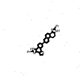 CC(C)c1nc2c([nH]1)CCc1c-2ccc2cc(-c3ccc4c(c3)c3sccc3c3nc(C(C)C)[nH]c43)ccc12